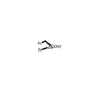 CC(=O)CC(=O)[O-].C[CH2][Zn+]